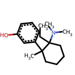 CCC1(N(C)C)CCCCC1(C)c1cccc(O)c1